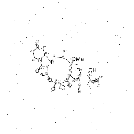 CO[C@]1(C)C[C@@H](C)CN(C)[C@@H](C(=O)N2CCN(C)CC2)[C@H](C)OC(=O)C(C)(C)C(=O)[C@H](C)[C@H]1O[C@@H]1O[C@H](C)C[C@H](N(C)C)[C@H]1O